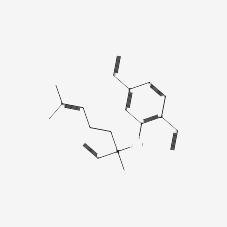 C=Cc1ccc(C=C)c(OC(C)(C=C)CCC=C(C)C)c1